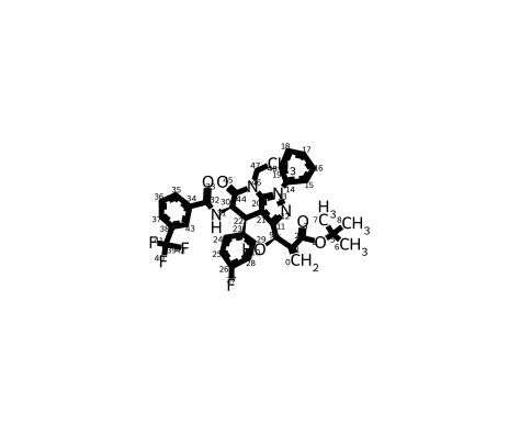 C=C(C(=O)OC(C)(C)C)[C@@H](O)c1nn(-c2ccccc2)c2c1[C@@H](c1ccc(F)cc1)[C@@H](NC(=O)c1cccc(C(F)(F)F)c1)C(=O)N2CC